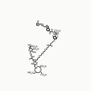 Cc1cc(OCCCC(=O)NCCCOCCOCCOCCCNC(=O)[C@@H](CCC(=O)NCCOC2OC3CC(O)(S(=O)(=O)O)C3C(S(=O)(=O)O)C2O)NC(=O)CN2CCN(CC(=O)O)CCN(CC(=O)O)CCN(C(=O)O)CC2)cc(C)c1S(=O)(=O)N[C@@H](CNC(=O)c1ccc2c(cnn2CCCNc2ncc[nH]2)c1)C(=O)O